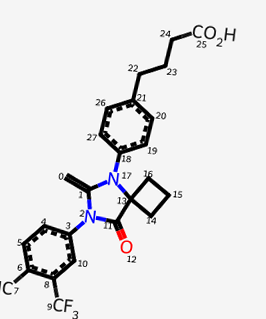 C=C1N(c2ccc(C#N)c(C(F)(F)F)c2)C(=O)C2(CCC2)N1c1ccc(CCCC(=O)O)cc1